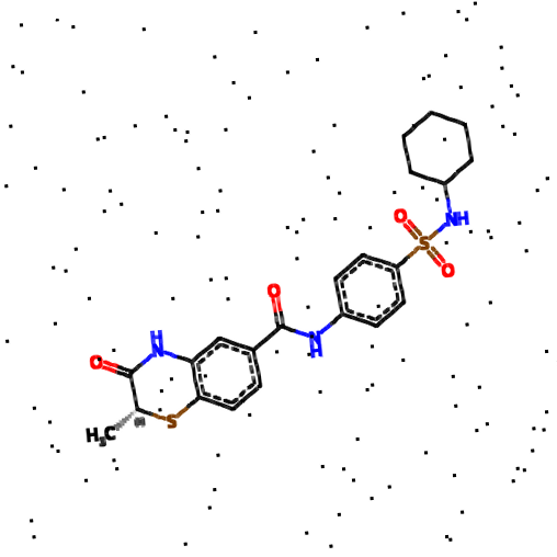 C[C@H]1Sc2ccc(C(=O)Nc3ccc(S(=O)(=O)NC4CCCCC4)cc3)cc2NC1=O